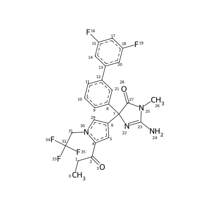 CCC(=O)c1cc(C2(c3cccc(-c4cc(F)cc(F)c4)c3)N=C(N)N(C)C2=O)cn1CC(F)(F)F